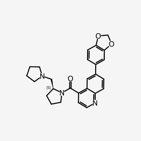 O=C(c1ccnc2ccc(-c3ccc4c(c3)OCO4)cc12)N1CCC[C@H]1CN1CCCC1